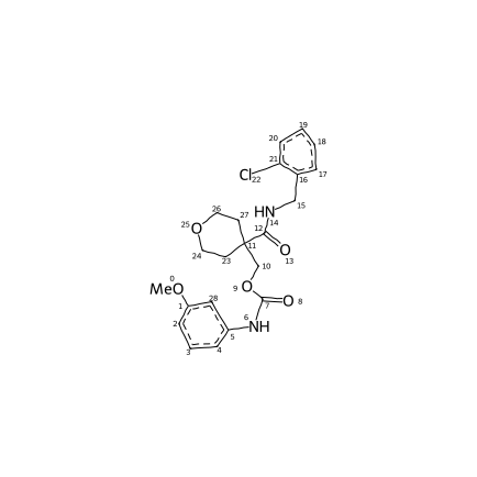 COc1cccc(NC(=O)OCC2(C(=O)NCc3ccccc3Cl)CCOCC2)c1